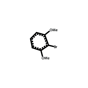 COc1[c]ccc(OC)c1Br